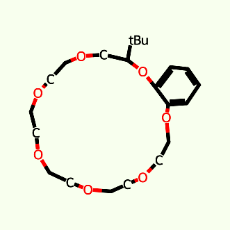 CC(C)(C)C1COCCOCCOCCOCCOCCOc2ccccc2O1